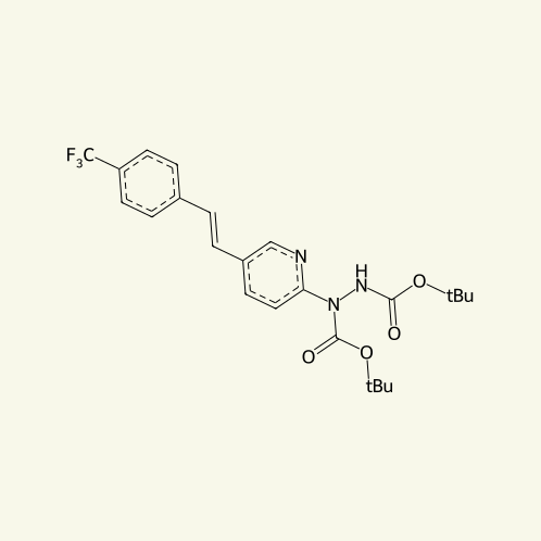 CC(C)(C)OC(=O)NN(C(=O)OC(C)(C)C)c1ccc(/C=C/c2ccc(C(F)(F)F)cc2)cn1